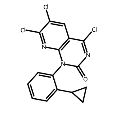 O=c1nc(Cl)c2cc(Cl)c(Cl)nc2n1-c1ccccc1C1CC1